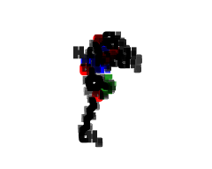 CCCCCCCCOc1ccc(C(=O)NNC(=O)C2(C)COC(C)(C)N2C(=O)OC(C)(C)C)cc1C(F)(F)F